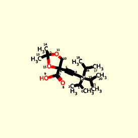 CC(C)[Si](C#CC1(C(=O)O)COC(C)(C)O1)(C(C)C)C(C)C